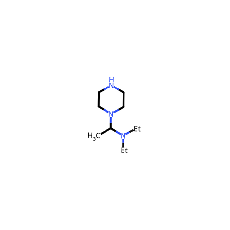 CCN(CC)C(C)N1CCNCC1